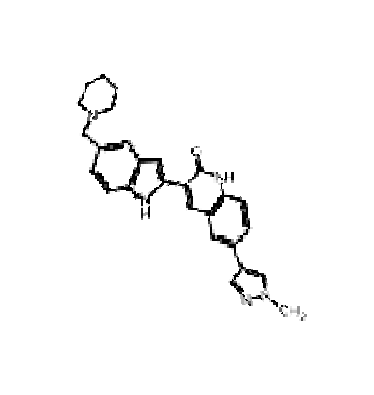 Cn1cc(-c2ccc3[nH]c(=O)c(-c4cc5cc(CN6CCCCC6)ccc5[nH]4)cc3c2)cn1